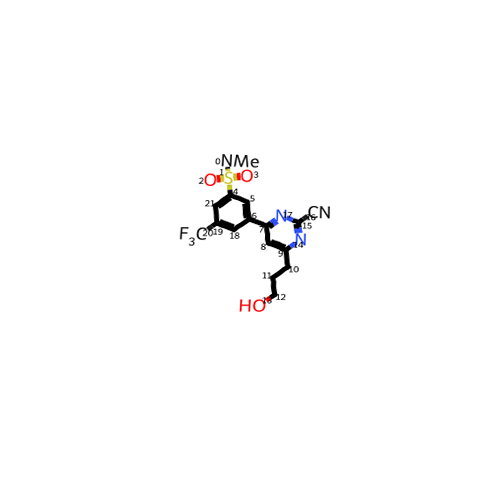 CNS(=O)(=O)c1cc(-c2cc(CCCO)nc(C#N)n2)cc(C(F)(F)F)c1